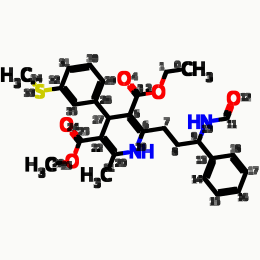 CCOC(=O)C1=C(CCC(NC=O)c2ccccc2)NC(C)=C(C(=O)OC)C1c1cccc(SC)c1